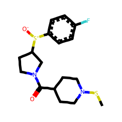 CSN1CCC(C(=O)N2CCC([S+]([O-])c3ccc(F)cc3)C2)CC1